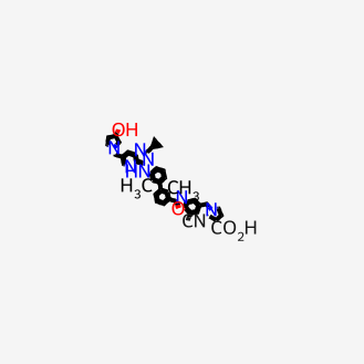 Cc1c(Nc2nc(C3CC3)nc3cc(CN4CCC(O)C4)cnc23)cccc1-c1cccc(-c2nc3cc(CN4CCC(C(=O)O)C4)cc(C#N)c3o2)c1C